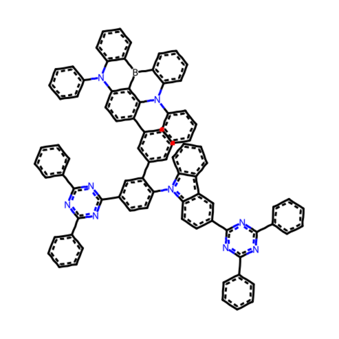 c1ccc(-c2nc(-c3ccccc3)nc(-c3ccc(-n4c5ccccc5c5cc(-c6nc(-c7ccccc7)nc(-c7ccccc7)n6)ccc54)c(-c4cccc(-c5ccc6c7c5N(c5ccccc5)c5ccccc5B7c5ccccc5N6c5ccccc5)c4)c3)n2)cc1